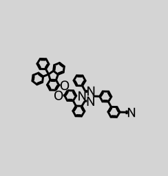 N#Cc1cccc(-c2cccc(-c3nc(-c4ccccc4)nc(-c4ccccc4-c4ccc5c(c4)Oc4ccc6c(c4O5)-c4ccccc4C6(c4ccccc4)c4ccccc4)n3)c2)c1